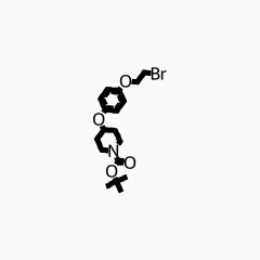 CC(C)(C)OC(=O)N1CCC(Oc2ccc(OCCBr)cc2)CC1